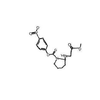 COC(=O)CNC1CCCCN1C(=O)Oc1ccc([N+](=O)[O-])cc1